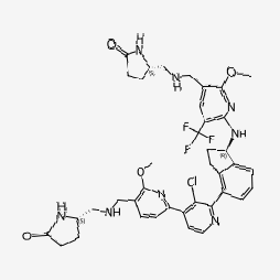 COc1nc(-c2ccnc(-c3cccc4c3CC[C@H]4Nc3nc(OC)c(CNC[C@@H]4CCC(=O)N4)cc3C(F)(F)F)c2Cl)ccc1CNC[C@@H]1CCC(=O)N1